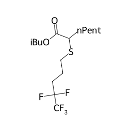 CCCCCC(SCCCC(F)(F)C(F)(F)F)C(=O)OCC(C)C